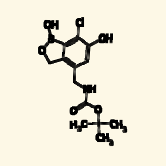 CC(C)(C)OC(=O)NCc1cc(O)c(Cl)c2c1COB2O